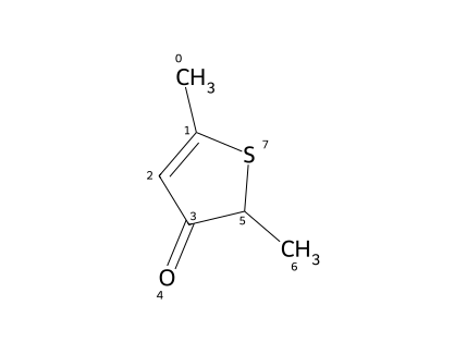 CC1=CC(=O)C(C)S1